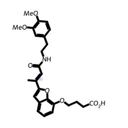 COc1ccc(CCNC(=O)/C=C(\C)c2cc3cccc(OCCCC(=O)O)c3o2)cc1OC